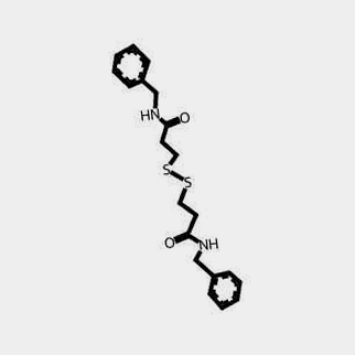 O=C(CCSSCCC(=O)NCc1ccccc1)NCc1ccccc1